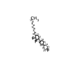 CCCCCCCC/C=C/c1ccc(-c2ccc(C3CCC(F)CC3)cc2)c(F)c1F